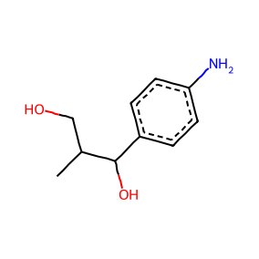 CC(CO)C(O)c1ccc(N)cc1